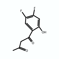 CC(=O)CC(=O)c1cc(F)c(F)cc1O